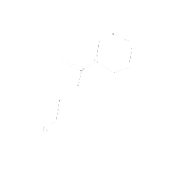 NCCSC(=O)N1CCOCC1